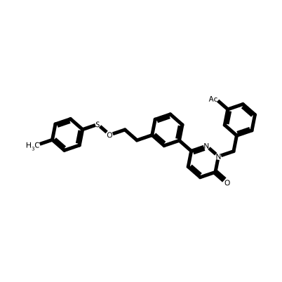 CC(=O)c1cccc(Cn2nc(-c3cccc(CCOSc4ccc(C)cc4)c3)ccc2=O)c1